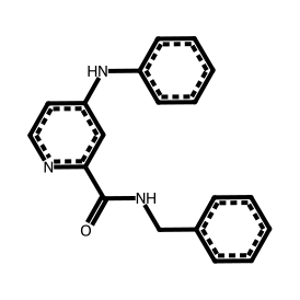 O=C(NCc1ccccc1)c1cc(Nc2ccccc2)ccn1